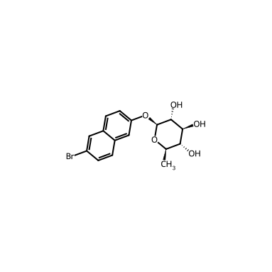 C[C@H]1O[C@@H](Oc2ccc3cc(Br)ccc3c2)[C@H](O)[C@@H](O)[C@@H]1O